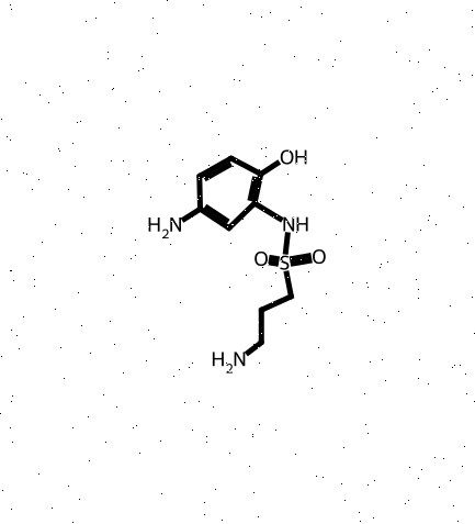 NCCCS(=O)(=O)Nc1cc(N)ccc1O